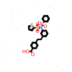 O=C(O)c1ccc(CCc2cccc(N(S(=O)(=O)c3ccccc3)S(=O)(=O)c3cccs3)c2)cc1